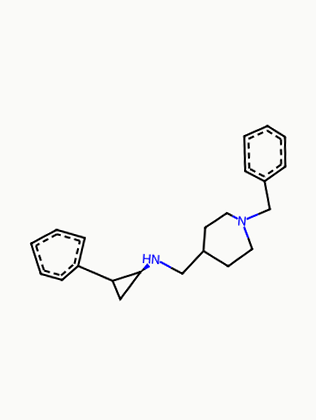 c1ccc(CN2CCC(CN[C@H]3CC3c3ccccc3)CC2)cc1